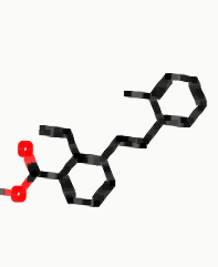 C=Cc1c(C=Cc2ccccc2C)cccc1C(=O)OC